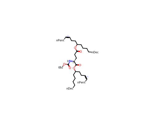 CCCCC/C=C\CCC(CCCCCCCCCCCCCC)OC(=O)CC[C@H](NC(=O)OC(C)(C)C)C(=O)OC(CC/C=C\CCCCC)CCCCCCCCCCCCCC